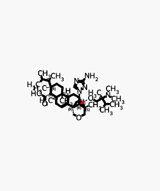 CC(C)[C@@H](C)[C@@]1(C)CC[C@]2(C)[C@H]3CC[C@@H]4[C@@]5(COC[C@@]4(C)[C@@H](OC[C@@](C)(C(C)C)N(C)C)[C@H](n4cnc(N)n4)C5)C3=CC[C@@]2(C)[C@@H]1C(=O)O